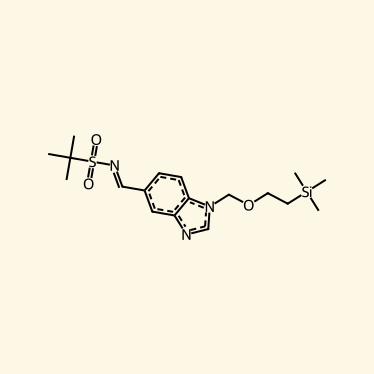 CC(C)(C)S(=O)(=O)N=Cc1ccc2c(c1)ncn2COCC[Si](C)(C)C